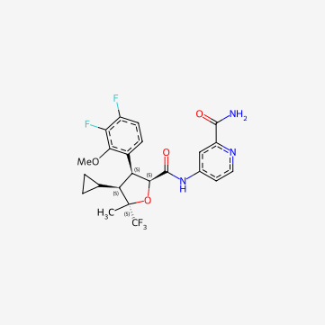 COc1c([C@H]2[C@@H](C(=O)Nc3ccnc(C(N)=O)c3)O[C@](C)(C(F)(F)F)[C@H]2C2CC2)ccc(F)c1F